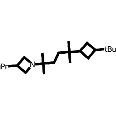 CC(C)C1CN(C(C)(C)CCC(C)(C)C2CC(C(C)(C)C)C2)C1